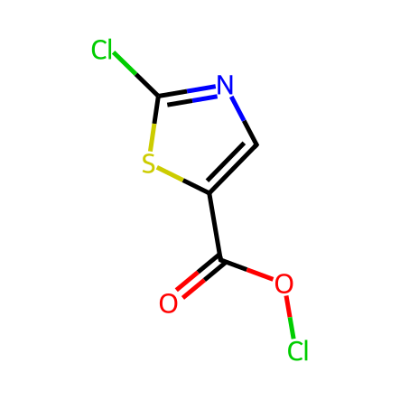 O=C(OCl)c1cnc(Cl)s1